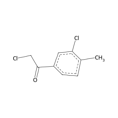 Cc1ccc(C(=O)CCl)cc1Cl